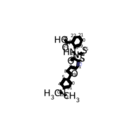 CN(C)c1ccc(-c2ccc(/C=C3/SC(=S)N(Nc4ccccc4C(=O)O)C3=O)o2)cc1